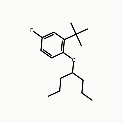 CCCC(CCC)Oc1ccc(F)cc1C(C)(C)C